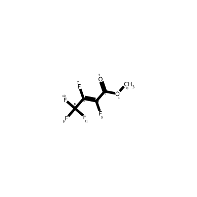 COC(=O)C(F)=C(F)C(F)(F)F